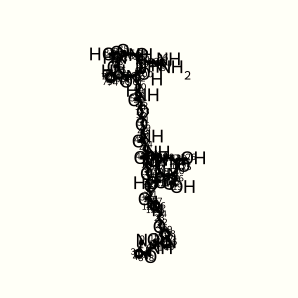 N#C[C@@H]1CCCN1C(=O)CNC(=O)c1ccnc2ccc(OCCCN3CCN(C(=O)CCOCCOCCNC(=O)C(CCC(=O)NCCOCCOCCC(=O)NCCCC[C@@H]4NC(=O)[C@@H](Cc5ccccc5)NC(=O)[C@H](CC(=O)O)NC(=O)CNC(=O)[C@H](CCCNC(=N)N)NC4=O)NC(=O)CN4CCN(CC(=O)O)CCN(CC(=O)O)CCN(CC(=O)O)CC4)CC3)cc12